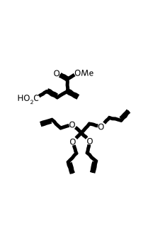 C=C(C=CC(=O)O)C(=O)OC.C=CCOCC(OCC=C)(OCC=C)OCC=C